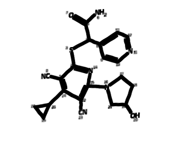 N#Cc1c(SC(C(N)=O)c2ccncc2)nc(N2CCC(O)C2)c(C#N)c1C1CC1